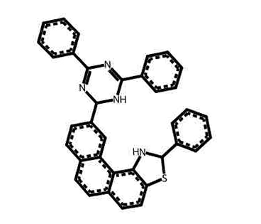 c1ccc(C2=NC(c3ccc4ccc5ccc6c(c5c4c3)NC(c3ccccc3)S6)NC(c3ccccc3)=N2)cc1